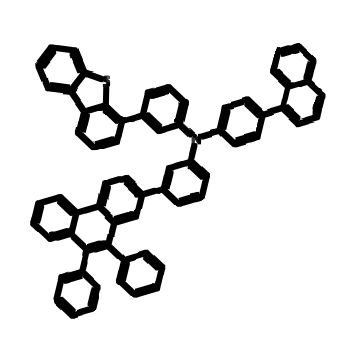 c1ccc(-c2c(-c3ccccc3)c3cc(-c4cccc(N(c5ccc(-c6cccc7ccccc67)cc5)c5cccc(-c6cccc7c6sc6ccccc67)c5)c4)ccc3c3ccccc23)cc1